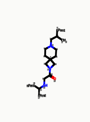 CCCCCC(C)CN1CCC2(CC1)CN(C(=O)CNC(CCCCC)CCCCC)C2